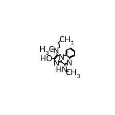 CCCN(C)c1c(O)nc2c(NC)nc3ccccc3n12